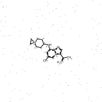 C=C(C)c1cnc2c(NC3CC[N+]4(CC3)CC4)cc(Cl)cn12